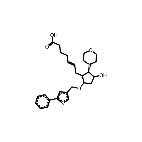 O=C(O)CCC/C=C/CC1C(OCc2csc(-c3ccccc3)c2)CC(O)C1N1CCOCC1